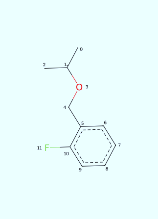 C[C](C)OCc1ccccc1F